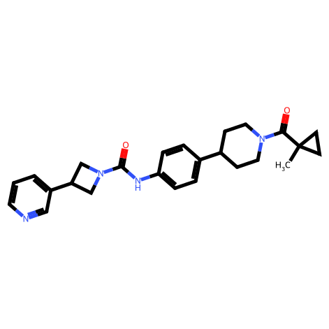 CC1(C(=O)N2CCC(c3ccc(NC(=O)N4CC(c5cccnc5)C4)cc3)CC2)CC1